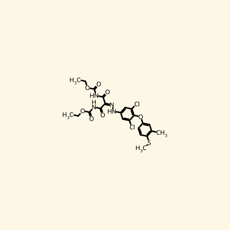 CCOC(=O)NC(=O)C(=NNc1cc(Cl)c(Oc2ccc(SC)c(C)c2)c(Cl)c1)C(=O)NC(=O)OCC